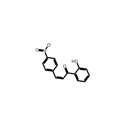 O=C(/C=C\c1ccc([N+](=O)[O-])cc1)c1ccccc1O